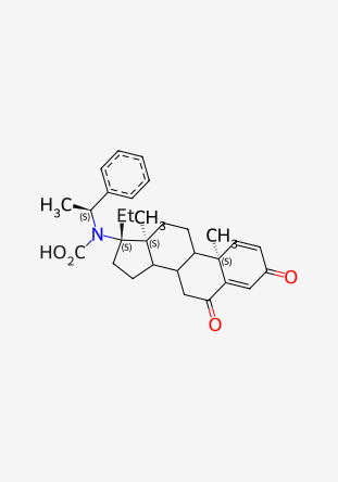 CC[C@]1(N(C(=O)O)[C@@H](C)c2ccccc2)CCC2C3CC(=O)C4=CC(=O)C=C[C@]4(C)C3CC[C@@]21C